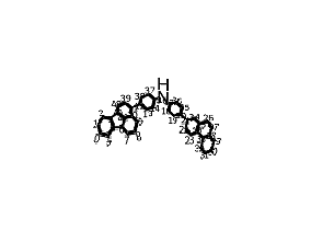 c1ccc2c(c1)-c1cccc3c(-c4ccc(Nc5ccc(-c6ccc7c(ccc8ccccc87)c6)cc5)cc4)ccc-2c13